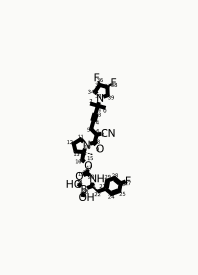 CC(C)(C#CCC(C#N)C(=O)N1CCC[C@]1(C)COC(=O)N[C@@H](Cc1ccc(F)cc1)B(O)O)N1C[C@@H](F)[C@@H](F)C1